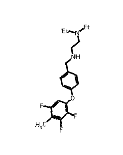 CCN(CC)CCNCc1ccc(Oc2cc(F)c(C)c(F)c2F)cc1